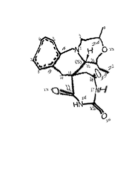 CC1CN2c3ccccc3CC3(C(=O)NC(=O)NC3=O)[C@H]2C(C)O1